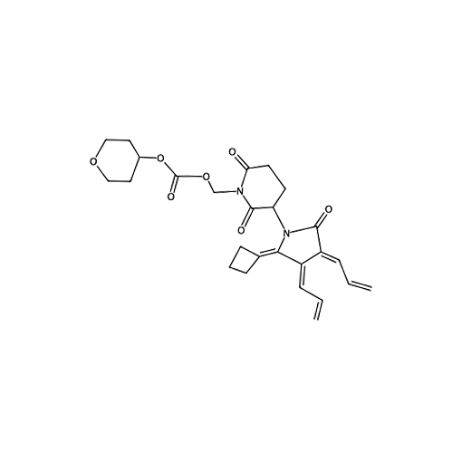 C=C/C=C1/C(=O)N(C2CCC(=O)N(COC(=O)OC3CCOCC3)C2=O)C(=C2CCC2)/C1=C/C=C